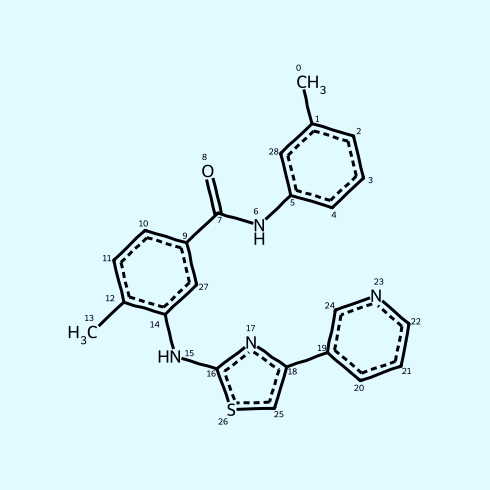 Cc1cccc(NC(=O)c2ccc(C)c(Nc3nc(-c4cccnc4)cs3)c2)c1